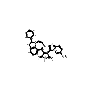 Cc1ccc2ncc(C3=C(C4=NC=CN5c6c(cccc64)CC5c4ccccn4)C(=O)NC3=O)n2c1